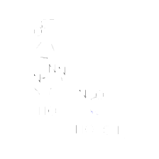 CC(O)/C=C/C(=O)N1CC(c2nn(-c3ccc(OC(F)(F)F)cc3)c3nccc(CO)c23)C1